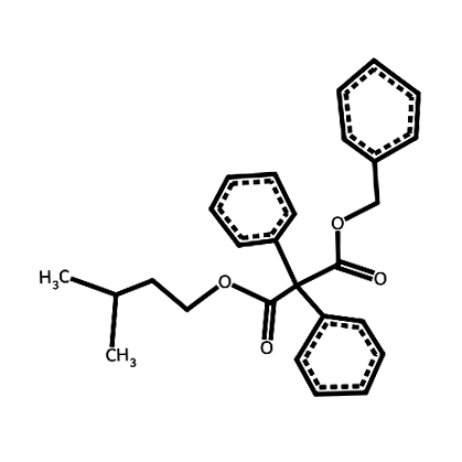 CC(C)CCOC(=O)C(C(=O)OCc1ccccc1)(c1ccccc1)c1ccccc1